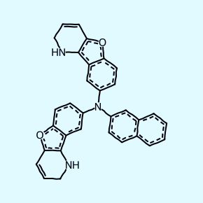 C1=Cc2oc3ccc(N(c4ccc5ccccc5c4)c4ccc5oc6c(c5c4)NCC=C6)cc3c2NC1